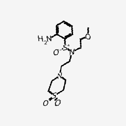 COCCN(CCN1CCS(=O)(=O)CC1)[S+]([O-])c1ccccc1N